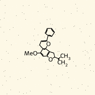 C=C(C)C1Cc2c(cc(OC)c3c2OC(c2ccccc2)=CC3)O1